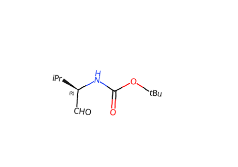 CC(C)[C@H](C=O)NC(=O)OC(C)(C)C